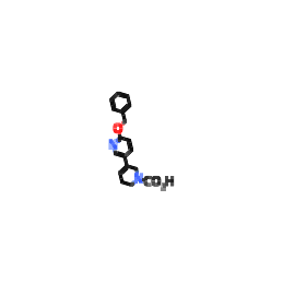 O=C(O)N1CCC=C(c2ccc(OCc3ccccc3)nc2)C1